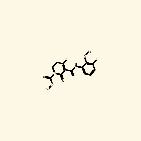 CCOc1c(F)cccc1NC(=S)C1=C(O)CCN(C(=O)OC(C)(C)C)C1=O